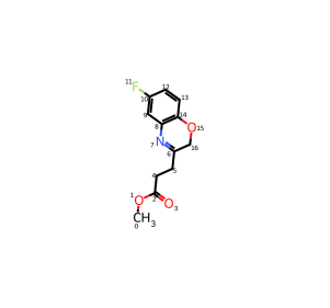 COC(=O)CCC1=Nc2cc(F)ccc2OC1